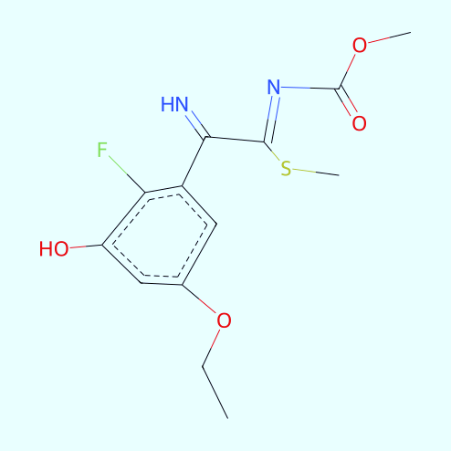 CCOc1cc(O)c(F)c(C(=N)C(=NC(=O)OC)SC)c1